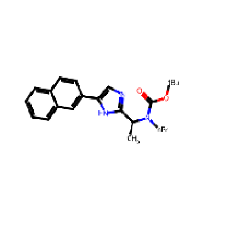 CCCN(C(=O)OC(C)(C)C)[C@@H](C)c1ncc(-c2ccc3ccccc3c2)[nH]1